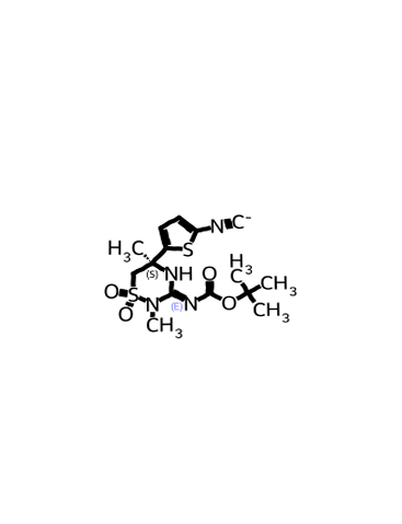 [C-]#[N+]c1ccc([C@]2(C)CS(=O)(=O)N(C)/C(=N/C(=O)OC(C)(C)C)N2)s1